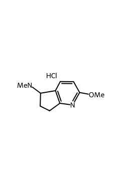 CNC1CCc2nc(OC)ccc21.Cl